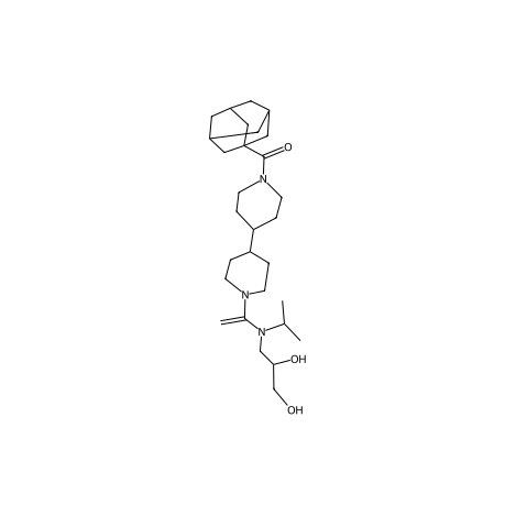 C=C(N1CCC(C2CCN(C(=O)C34CC5CC(CC(C5)C3)C4)CC2)CC1)N(CC(O)CO)C(C)C